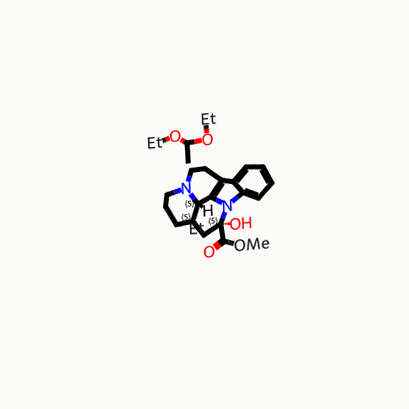 CCOC(C)OCC.CC[C@]12CCCN3CCc4c(n(c5ccccc45)[C@@](O)(C(=O)OC)C1)[C@@H]32